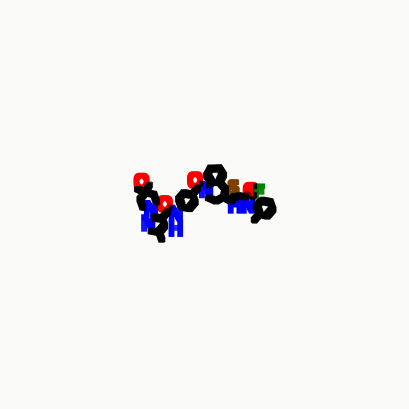 Cc1cnc(N2CCC3(CC2)COC3)c(C(=O)Nc2ccc(C(=O)N3CCc4cc(C(=O)Nc5c(C)cccc5F)sc4-c4ccccc43)cc2)c1